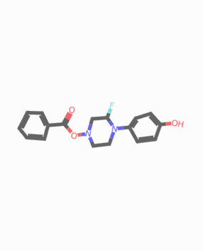 O=C(ON1CCN(c2ccc(O)cc2)C(F)C1)c1ccccc1